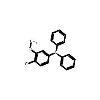 COc1cc(N(c2ccccc2)c2ccccc2)ccc1Cl